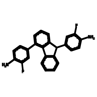 Nc1ccc(-c2cccc3c2-c2ccccc2C3c2ccc(N)c(F)c2)cc1F